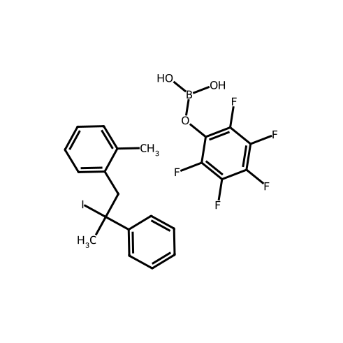 Cc1ccccc1CC(C)(I)c1ccccc1.OB(O)Oc1c(F)c(F)c(F)c(F)c1F